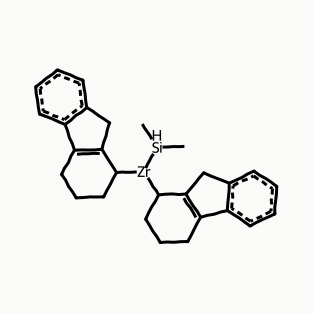 C[SiH](C)[Zr]([CH]1CCCC2=C1Cc1ccccc12)[CH]1CCCC2=C1Cc1ccccc12